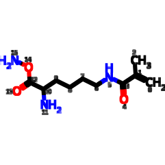 C=C(C)C(=O)NCCCCC(N)C(=O)ON